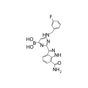 NC(=O)c1cccc2c(-c3nc(NCc4cccc(F)c4)cc(B(O)O)n3)n[nH]c12